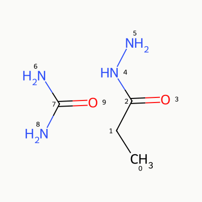 CCC(=O)NN.NC(N)=O